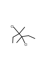 CCC(C)(Cl)C(C)(Cl)CC